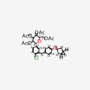 CC(=O)OC[C@H]1O[C@@H](c2ccc(Cl)c(Cc3ccc(O[C@H]4C[C@@H]5C[C@@H]5C4)cc3)c2)[C@H](OC(C)=O)[C@@H](OC(C)=O)[C@@H]1OC(C)=O